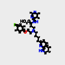 O=C(O)[C@H](CCN(CCCCc1ccc2c(n1)NCCC2)CCOc1ccc(F)cc1)Nc1ccncn1